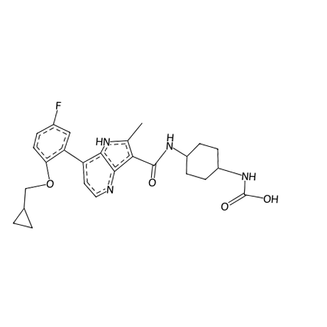 Cc1[nH]c2c(-c3cc(F)ccc3OCC3CC3)ccnc2c1C(=O)NC1CCC(NC(=O)O)CC1